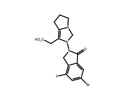 O=C(O)CC1=C2CCCN2CN1N1Cc2c(F)cc(Br)cc2C1=O